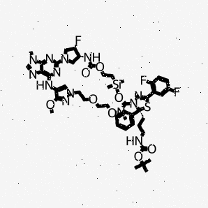 COc1nn(CCOCCON(C)C(=O)N2N=C(c3cc(F)ccc3F)S[C@@]2(CCCNC(=O)OC(C)(C)C)c2ccccc2)cc1Nc1nc(N2C[C@@H](F)[C@H](NC(=O)OCC[Si](C)(C)C)C2)nc2c1ncn2C